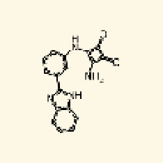 Nc1c(Nc2cccc(-c3nc4ccccc4[nH]3)c2)c(=O)c1=O